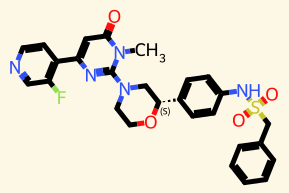 Cn1c(N2CCO[C@@H](c3ccc(NS(=O)(=O)Cc4ccccc4)cc3)C2)nc(-c2ccncc2F)cc1=O